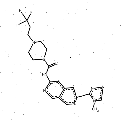 Cn1cnnc1-c1cc2cc(NC(=O)C3CCN(CCC(F)(F)F)CC3)ncc2cn1